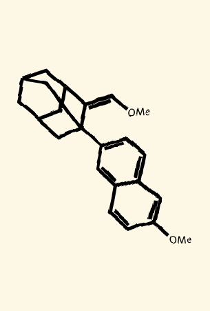 COC=C1C2CC3CC(C2)CC1(c1ccc2cc(OC)ccc2c1)C3